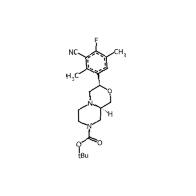 Cc1cc([C@@H]2CN3CCN(C(=O)OC(C)(C)C)C[C@@H]3CO2)c(C)c(C#N)c1F